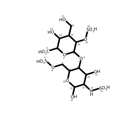 O=C(O)C1OC(OC2C(COS(=O)(=O)O)OC(O)C(NS(=O)(=O)O)C2O)C(OS(=O)(=O)O)C(CO)C1O